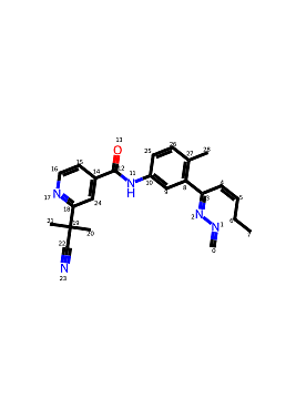 C=N/N=C(\C=C/CC)c1cc(NC(=O)c2ccnc(C(C)(C)C#N)c2)ccc1C